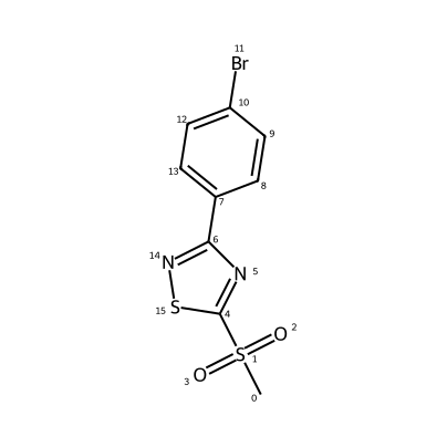 CS(=O)(=O)c1nc(-c2ccc(Br)cc2)ns1